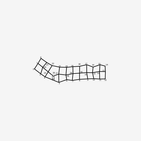 C1C2CC3C4C5C6C7C8C9C%10C%11CC%12CC%13C%14C%15C%16C%17C%18C%19C%20C1C23C%204NC%195C%186C%177C%168C%159C%14%10C%12%13%11